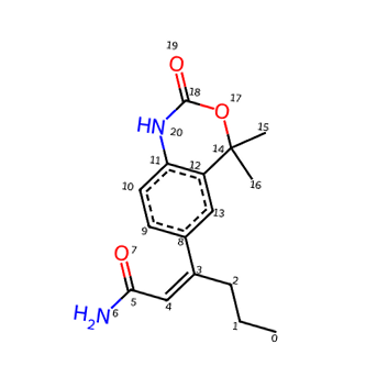 CCC/C(=C/C(N)=O)c1ccc2c(c1)C(C)(C)OC(=O)N2